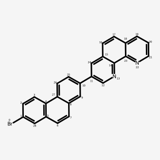 Brc1ccc2c(ccc3cc(-c4cnc5c(ccc6cccnc65)c4)ccc32)c1